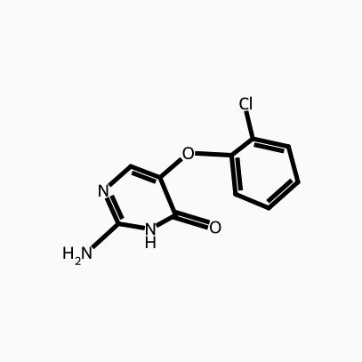 Nc1ncc(Oc2ccccc2Cl)c(=O)[nH]1